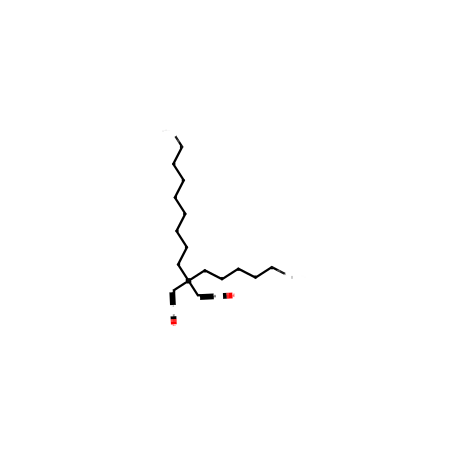 CCCCCCCCCCCCCCCCCCC(C=C=O)(C=C=O)CCCCCCCCCCCCCCC